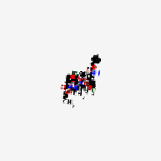 CCCCOC(=O)[C@@H](Cc1ccc(Cl)cc1)NC(=O)[C@@H](C)N(C)C(=O)[C@H](C1CC1)N(C[C@@H](C)Oc1cc(F)ccc1CCCNC(=O)OCc1ccccc1)C(=O)OC(C)(C)C